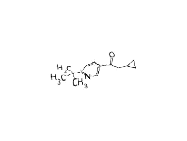 CC(C)(C)c1ccc(C(=O)CC2CC2)cn1